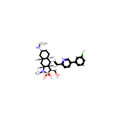 CCOC(=O)N[C@@H]1CC[C@@H]2[C@@H](C1)C[C@@H]1[C@H]([C@H]2/C=C/c2ccc(-c3cccc(F)c3)cn2)[C@@H](CO)S(=O)(=O)N1C